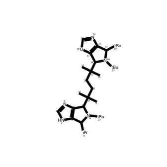 CC(C)C1c2[nH]cnc2C(C(C)(C)CCC(C)(C)C2c3ocnc3C(C(C)(C)C)N2C(C)(C)C)N1C(C)(C)C